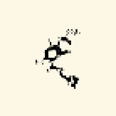 CCOC(=O)[C@H](F)ON1C(=O)N2C[C@H]1C=C(C)[C@H]2C(=O)NCc1ncco1